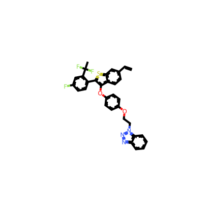 C=Cc1ccc2c(Oc3ccc(OCCn4nnc5ccccc54)cc3)c(-c3ccc(F)cc3C(C)(F)F)sc2c1